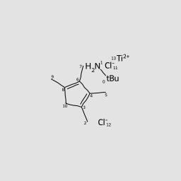 CC(C)(C)N.CC1=C(C)C(C)=C(C)C1.[Cl-].[Cl-].[Ti+2]